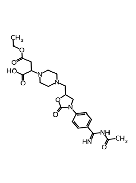 CCOC(=O)CC(C(=O)O)N1CCN(CC2CN(c3ccc(C(=N)NC(C)=O)cc3)C(=O)O2)CC1